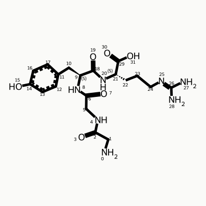 NCC(=O)NCC(=O)N[C@@H](Cc1ccc(O)cc1)C(=O)N[C@@H](CCCN=C(N)N)C(=O)O